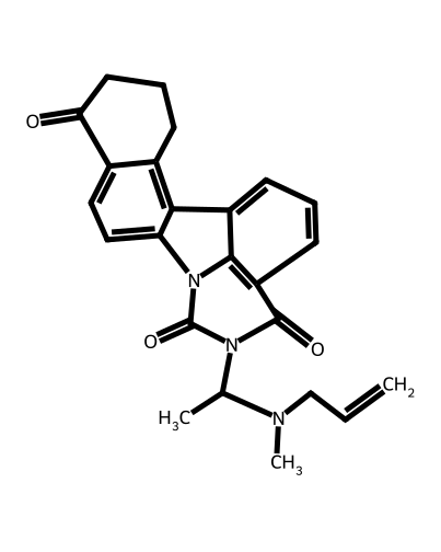 C=CCN(C)C(C)n1c(=O)c2cccc3c4c5c(ccc4n(c1=O)c23)C(=O)CCC5